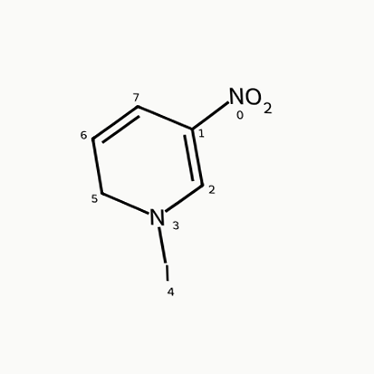 O=[N+]([O-])C1=CN(I)CC=C1